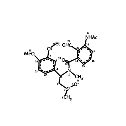 CCOc1cc(C(C[S+](C)[O-])N(C)C(=O)c2cccc(NC(C)=O)c2C=O)ccc1OC